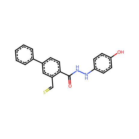 O=C(NNc1ccc(O)cc1)c1ccc(-c2ccccc2)cc1C=S